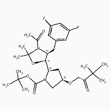 CC(=O)N1[C@@H](Cc2cc(F)cc(F)c2)[C@@H]([C@H]2C[C@@H](OCC(=O)C(C)(C)C)CN2C(=O)OC(C)(C)C)OC1(C)C